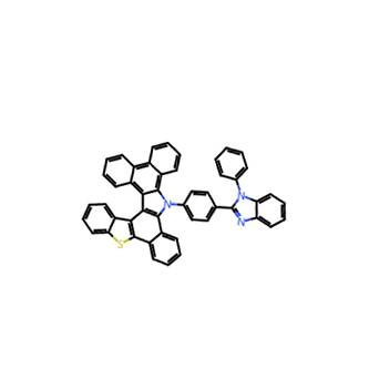 c1ccc(-n2c(-c3ccc(-n4c5c6ccccc6c6ccccc6c5c5c6c7ccccc7sc6c6ccccc6c54)cc3)nc3ccccc32)cc1